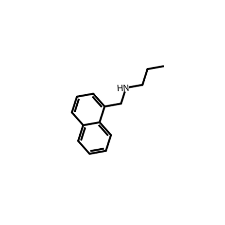 CCCNCc1cccc2ccccc12